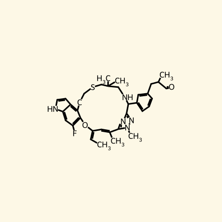 C/C=C1\C=C(/C)c2nc(nn2C)C(c2cccc(CC(C)C=O)c2)NCC(C)(C)CSCCc2c(c(F)cc3[nH]ccc23)O1